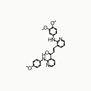 COc1ccc(Nc2ncccc2C(=O)C=Cc2cccnc2Nc2ccc(OC)c(OC)c2)cc1